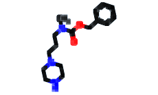 CN(CCCN1CCNCC1)C(=O)OCc1ccccc1